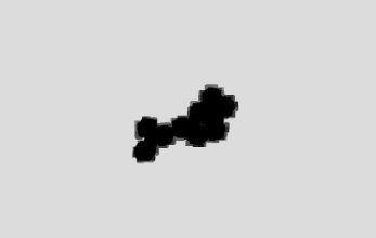 c1ccc(-n2c3ccccc3c3cc(-c4ccc5c(c4)c4ccccc4n5-c4ccc5c(c4)C4(c6ccccc6-5)c5ccccc5-n5c4nc4ccccc45)ccc32)cc1